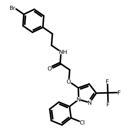 O=C(COc1cc(C(F)(F)F)nn1-c1ccccc1Cl)NCCc1ccc(Br)cc1